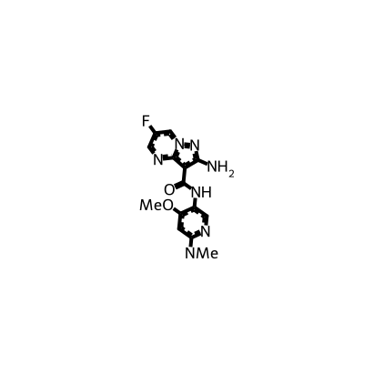 CNc1cc(OC)c(NC(=O)c2c(N)nn3cc(F)cnc23)cn1